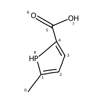 Cc1ccc(C(=O)O)[pH]1